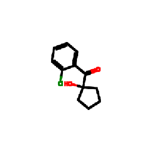 O=C(c1ccccc1Cl)C1(O)CCCC1